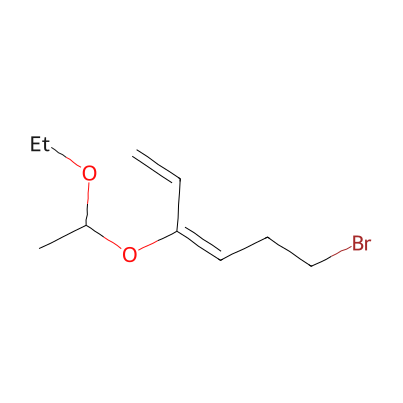 C=C/C(=C\CCBr)OC(C)OCC